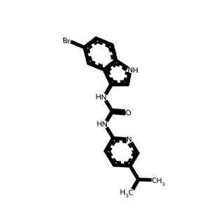 CC(C)c1ccc(NC(=O)Nc2c[nH]c3ccc(Br)cc23)nc1